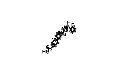 O=C(O)CC1CC2(CCN(c3ccc(NC(=O)c4nnc(Nc5ccccc5F)o4)cc3)CC2)C1